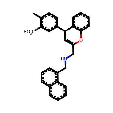 Cc1ccc(C2C=C(CNCc3cccc4ccccc34)Oc3ccccc32)cc1C(=O)O